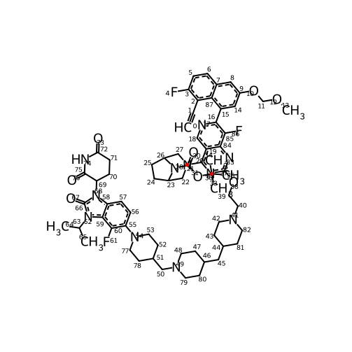 C#Cc1c(F)ccc2cc(OCOC)cc(-c3ncc4c(N5CC6CCC(C5)N6C(=O)OC(C)(C)C)nc(OCCN5CCC(CC6CCN(CC7CCN(c8ccc9c(c8F)n(C(C)C)c(=O)n9C8CCC(=O)NC8=O)CC7)CC6)CC5)nc4c3F)c12